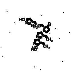 C=CN1CCCC1=O.C=Cn1ccnc1.C=Cn1ccnc1.C=Cn1ccnc1.Cl.Cl.Cl